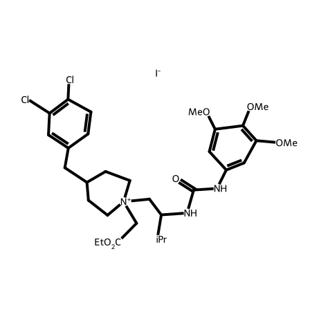 CCOC(=O)C[N+]1(CC(NC(=O)Nc2cc(OC)c(OC)c(OC)c2)C(C)C)CCC(Cc2ccc(Cl)c(Cl)c2)CC1.[I-]